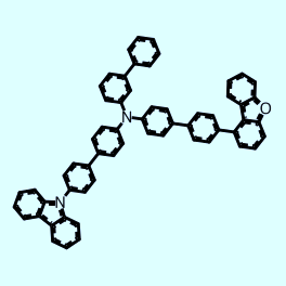 c1ccc(-c2cccc(N(c3ccc(-c4ccc(-c5cccc6oc7ccccc7c56)cc4)cc3)c3ccc(-c4ccc(-n5c6ccccc6c6ccccc65)cc4)cc3)c2)cc1